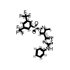 Cc1nn(S(=O)(=O)c2cc(C(F)(F)F)cc(C(F)(F)F)c2)cc1-c1nsc(Nc2ccccc2)n1